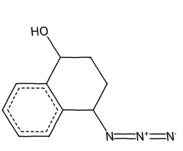 [N-]=[N+]=NC1CCC(O)c2ccccc21